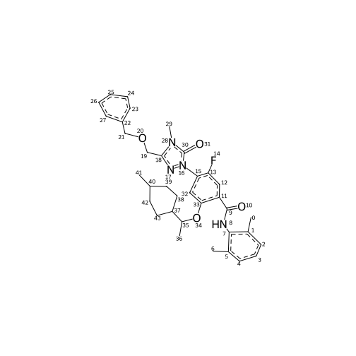 Cc1cccc(C)c1NC(=O)c1cc(F)c(-n2nc(COCc3ccccc3)n(C)c2=O)cc1OC(C)C1CCC(C)CC1